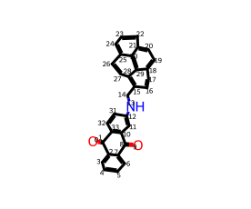 O=C1c2ccccc2C(=O)c2cc(NCc3ccc4ccc5cccc6ccc3c4c56)ccc21